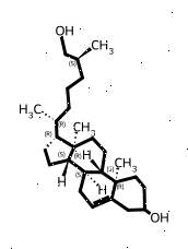 C[C@H](CO)CCC[C@@H](C)[C@H]1CC[C@H]2[C@@H]3CC=C4CC(O)CC[C@]4(C)[C@H]3CC[C@]12C